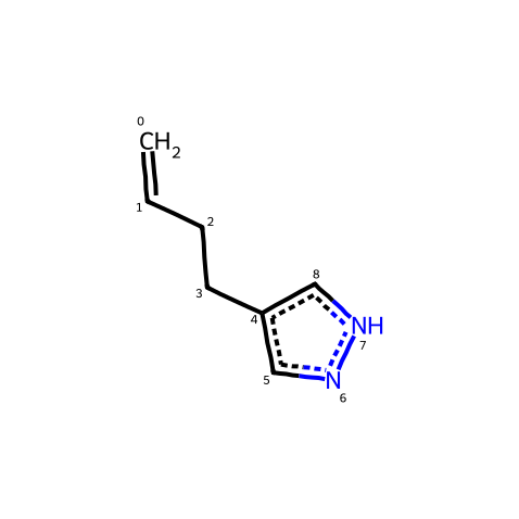 C=CCCc1cn[nH]c1